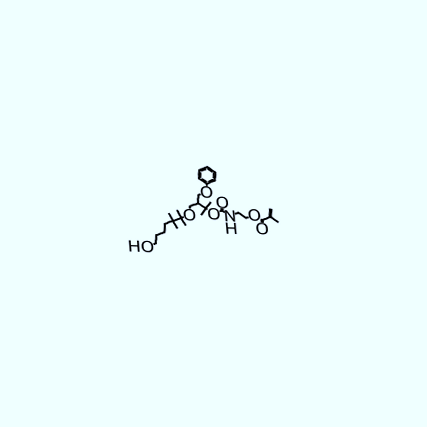 C=C(C)C(=O)OCCNC(=O)OC(C)(C)C(COc1ccccc1)COC(C)(C)C(C)(C)CCCCO